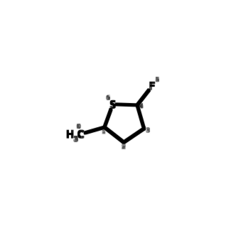 CC1CCC(F)S1